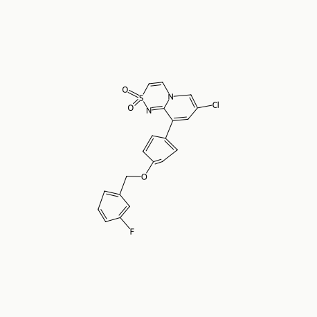 O=S1(=O)C=CN2C=C(Cl)C=C(c3ccc(OCc4cccc(F)c4)cc3)C2=N1